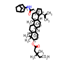 C=C(C)[C@@H]1CC[C@]2(CC(=O)NC3CC4CCC(C3)C4C)CC[C@]3(C)[C@H](CC[C@@H]4[C@@]5(C)CC[C@H](OC(=O)CC(C)(C)CC(=O)O)C(C)(C)[C@@H]5CC[C@]43C)[C@@H]12